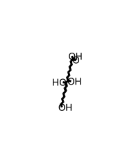 O=C(O)CCCCCCCC(O)/C(O)=C/C=C/CCCCCO